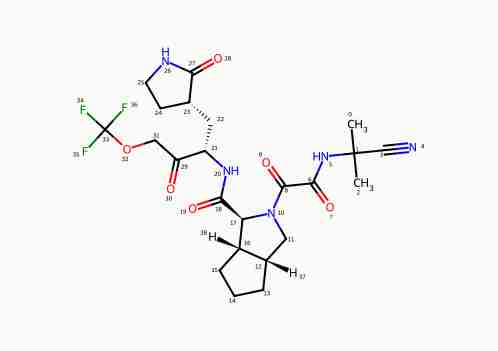 CC(C)(C#N)NC(=O)C(=O)N1C[C@@H]2CCC[C@@H]2[C@H]1C(=O)N[C@@H](C[C@@H]1CCNC1=O)C(=O)COC(F)(F)F